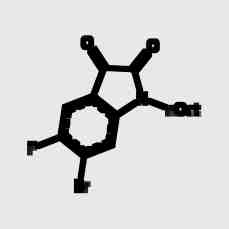 CCCCCCCCN1C(=O)C(=O)c2cc(F)c(Br)cc21